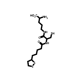 NC(CCCNC(=O)C(CS)NC(=O)CCCCC1CCSS1)C(=O)O